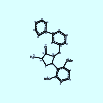 COc1ccnc(OC)c1C1CC(C)C(=O)N1Cc1cccc(-c2ccccc2)c1